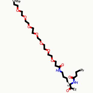 CCC(=O)[C@H](CCCCNC(=O)CCOCCOCCOCCOCCOCCOCCOCCOC)NC(=O)CCC(C)C